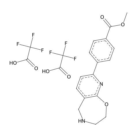 COC(=O)c1ccc(-c2ccc3c(n2)OCCNC3)cc1.O=C(O)C(F)(F)F.O=C(O)C(F)(F)F